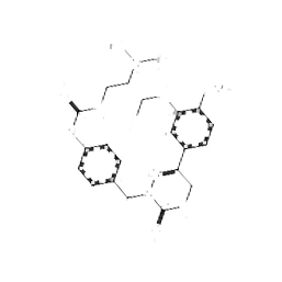 COc1ccc(C2=NN(Cc3ccc(NC(=O)OCCN(C(C)C)C(C)C)cc3)C(=O)SC2)cc1OCF